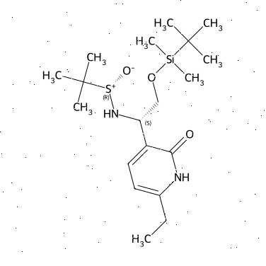 CCc1ccc([C@@H](CO[Si](C)(C)C(C)(C)C)N[S@@+]([O-])C(C)(C)C)c(=O)[nH]1